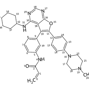 C=CC(=O)Nc1cccc(-c2c(-c3ccc(N4CCN(C)CC4)cc3)oc3ncnc(NC4CCCCC4)c23)c1